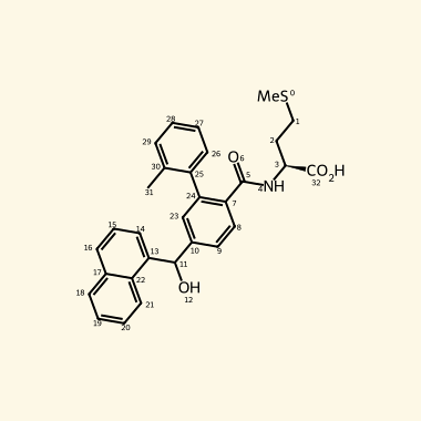 CSCC[C@H](NC(=O)c1ccc(C(O)c2cccc3ccccc23)cc1-c1ccccc1C)C(=O)O